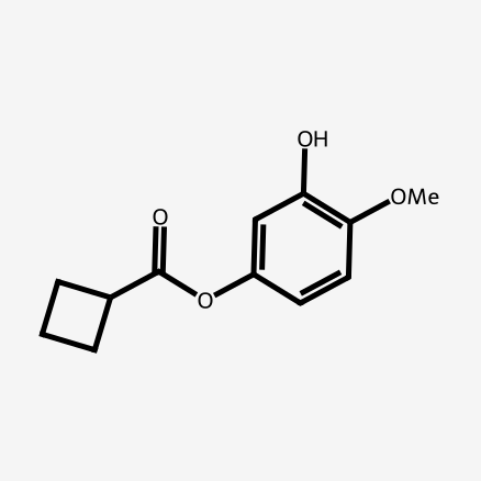 COc1ccc(OC(=O)C2CCC2)cc1O